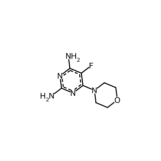 Nc1nc(N)c(F)c(N2CCOCC2)n1